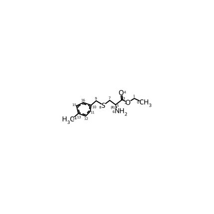 CCOC(=O)[C@@H](N)CSCc1ccc(C)cc1